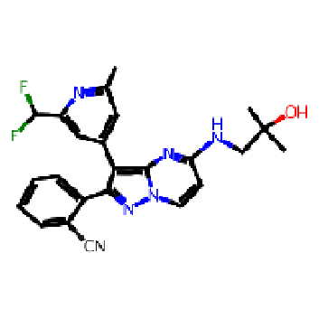 Cc1cc(-c2c(-c3ccccc3C#N)nn3ccc(NCC(C)(C)O)nc23)cc(C(F)F)n1